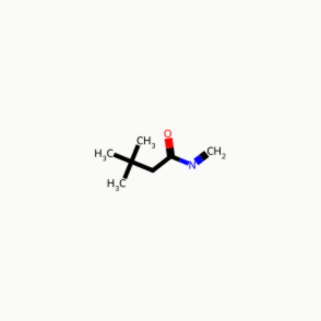 C=NC(=O)CC(C)(C)C